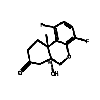 CC12CCC(=O)C[C@]1(O)COc1c(F)ccc(F)c12